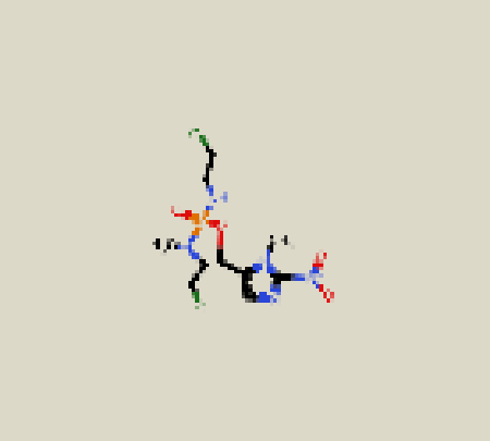 CN(CCCl)P(=O)(NCCCl)OCc1cnc([N+](=O)[O-])n1C